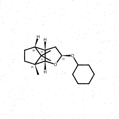 CC1(C)[C@@H]2CC[C@@]1(C)[C@H]1O[C@H](OC3CCCCC3)C[C@@H]21